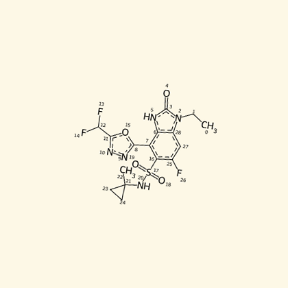 CCn1c(=O)[nH]c2c(-c3nnc(C(F)F)o3)c(S(=O)(=O)NC3(C)CC3)c(F)cc21